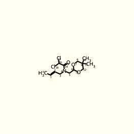 C/C=C/CN(CC1OCC(C)(C)CO1)C(=O)C(Cl)Cl